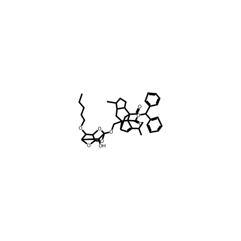 CCCCCOC1C2OC3(OCC45CC6C(C)CCC6C6(C=O)CC4C=C(C(C)C)C65C(=O)OC(c4ccccc4)c4ccccc4)OC2OC1C3O